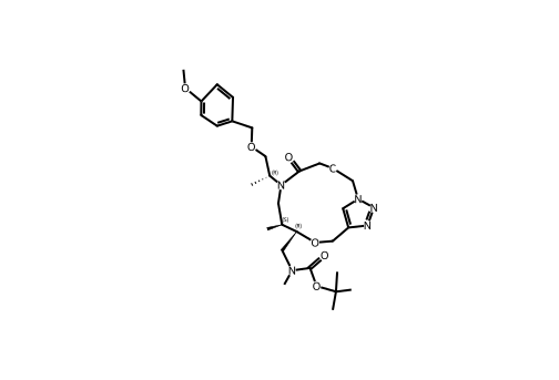 COc1ccc(COC[C@@H](C)N2C[C@H](C)[C@H](CN(C)C(=O)OC(C)(C)C)OCc3cn(nn3)CCCC2=O)cc1